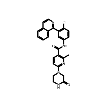 Cc1nc(N2CCNC(=O)C2)ccc1C(=O)Nc1ccc(Cl)c(-c2nccc3ccccc23)c1